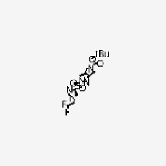 CC(C)(C)OC(=O)N1Cc2cn(S(=O)(=O)c3cn(CC(F)F)cn3)nc2C1